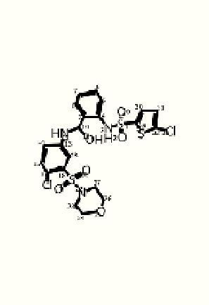 O=S(=O)(Nc1ccccc1C(O)Nc1ccc(Cl)c(S(=O)(=O)N2CCOCC2)c1)c1ccc(Cl)s1